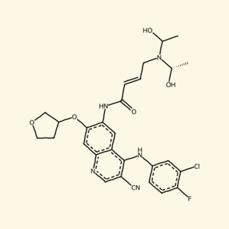 CC(O)N(C/C=C/C(=O)Nc1cc2c(Nc3ccc(F)c(Cl)c3)c(C#N)cnc2cc1OC1CCOC1)[C@H](C)O